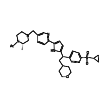 CC(=O)N1CCN(Cc2ccc(-c3ccc(C(CC4CCOCC4)c4ccc(S(=O)(=O)C5CC5)cc4)[nH]3)nc2)C[C@@H]1C